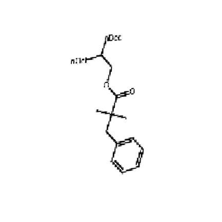 CCCCCCCCCCC(CCCCCCCC)COC(=O)C(C)(C)Cc1ccccc1